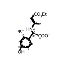 CCOC(=O)/C=C(\C)N[C@@H](C(=O)[O-])c1ccc(O)cc1.[K+]